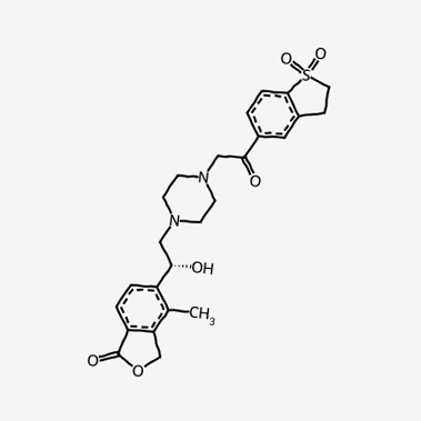 Cc1c([C@@H](O)CN2CCN(CC(=O)c3ccc4c(c3)CCS4(=O)=O)CC2)ccc2c1COC2=O